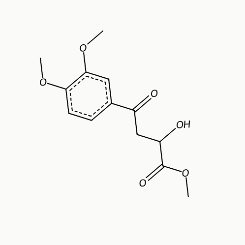 COC(=O)C(O)CC(=O)c1ccc(OC)c(OC)c1